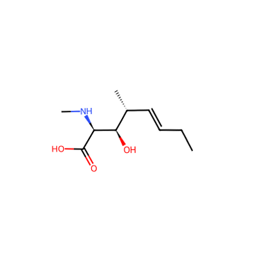 CC/C=C/[C@@H](C)[C@@H](O)[C@H](NC)C(=O)O